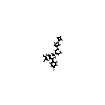 Cc1nc2nc([C@H]3CCO[C@@H](c4cnn(C5CCC5)c4)C3)nc(-c3ccc(F)cc3F)c2nc1C